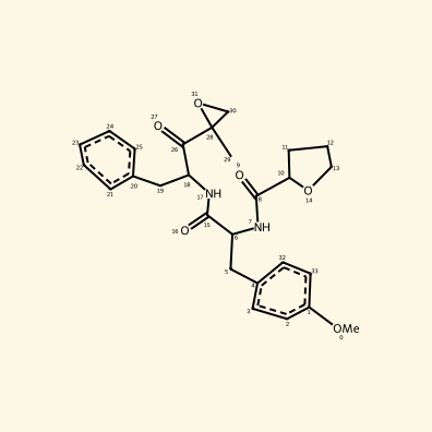 COc1ccc(CC(NC(=O)C2CCCO2)C(=O)NC(Cc2ccccc2)C(=O)C2(C)CO2)cc1